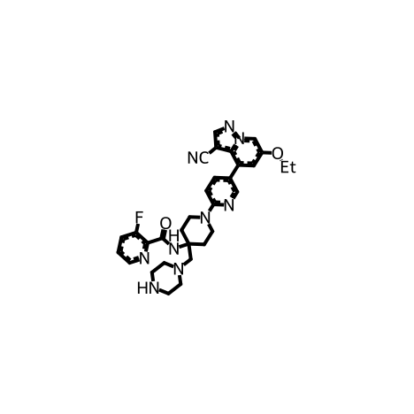 CCOc1cc(-c2ccc(N3CCC(CN4CCNCC4)(NC(=O)c4ncccc4F)CC3)nc2)c2c(C#N)cnn2c1